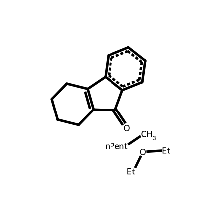 CCCCCC.CCOCC.O=C1C2=C(CCCC2)c2ccccc21